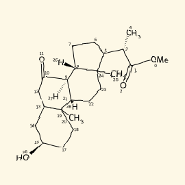 COC(=O)[C@@H](C)C1CC[C@H]2[C@@H]3C(=O)CC4C[C@H](O)CCC4(C)[C@H]3CCC12C